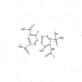 CC(=O)Nc1c(O)cccc1[As](=O)(O)O.Cc1ccc(C(=O)O)cc1C(=O)O